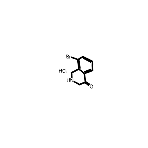 Cl.O=C1CNCc2c(Br)cccc21